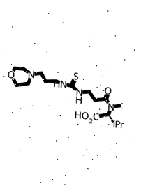 CC(C)[C@@H](C(=O)O)N(C)C(=O)CCNC(=S)NCCCN1CCOCC1